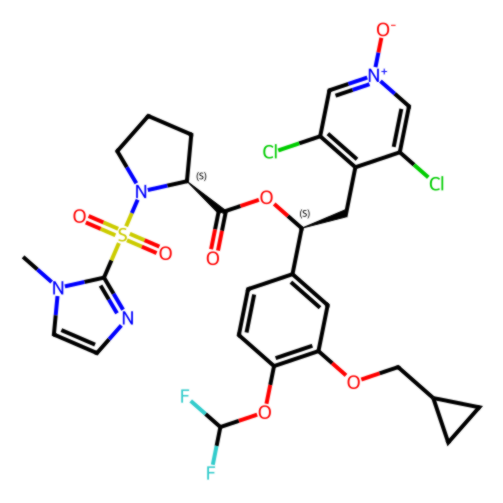 Cn1ccnc1S(=O)(=O)N1CCC[C@H]1C(=O)O[C@@H](Cc1c(Cl)c[n+]([O-])cc1Cl)c1ccc(OC(F)F)c(OCC2CC2)c1